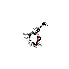 C=CC[C@@H]1/C=C(\C)C[C@H](C)C[C@H](OC)C2O[C@@](O)(C(=O)C(=O)N3CCCC[C@H]3C(=O)O[C@H](/C(C)=C/[C@@H]3CC[C@@H](OCCSC4CCOC4=O)[C@H](OC)C3)[C@H](C)[C@@H](O)CC1=O)[C@H](C)C[C@@H]2OC